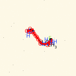 Cc1[nH]c(/C=C2\C(=O)Nc3ccc(F)cc32)c(C)c1C(=O)NCCCN1CCN(C(=O)CCOCCOCCOCCOCCOCCNc2cccc3c2C(=O)N(C2CCC(=O)NC2O)C3=O)CC1